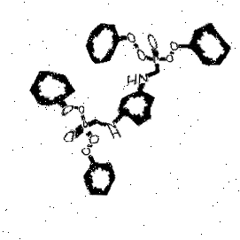 O=P(CNc1cccc(NCP(=O)(OOc2ccccc2)OOc2ccccc2)c1)(OOc1ccccc1)OOc1ccccc1